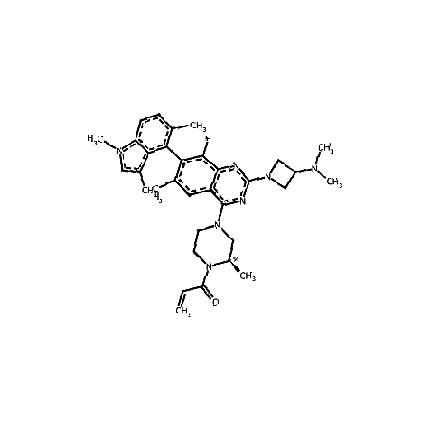 C=CC(=O)N1CCN(c2nc(N3CC(N(C)C)C3)nc3c(F)c(-c4c(C)ccc5c4c(C)cn5C)c(C)cc23)C[C@H]1C